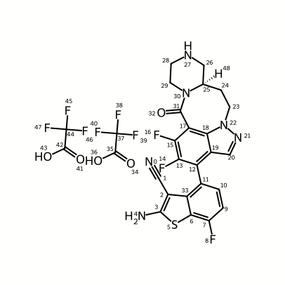 N#Cc1c(N)sc2c(F)ccc(-c3c(F)c(F)c4c5c3cnn5CC[C@@H]3CNCCN3C4=O)c12.O=C(O)C(F)(F)F.O=C(O)C(F)(F)F